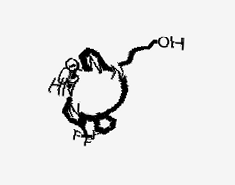 O=S1(=O)Nc2ccc(C(F)(F)F)c(n2)-c2ccccc2CCCCN(CCCCCO)c2cccc1n2